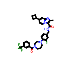 Cc1nc2cc(C3CCC3)ccn2c1C(=O)NCc1ccc(N2CCCN(C(=O)c3cccc(C(F)(F)F)c3)CC2)c(F)c1